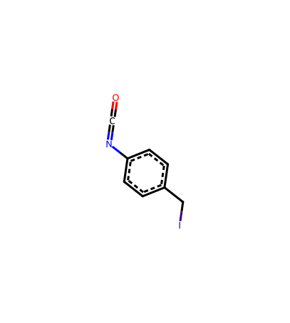 O=C=Nc1ccc(CI)cc1